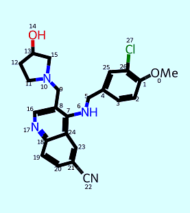 COc1ccc(CNc2c(CN3CCC(O)C3)cnc3ccc(C#N)cc23)cc1Cl